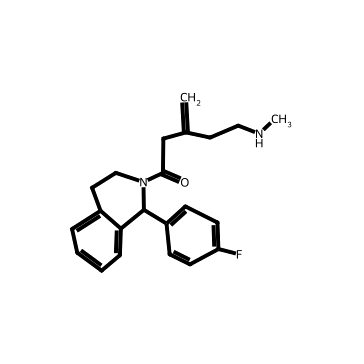 C=C(CCNC)CC(=O)N1CCc2ccccc2C1c1ccc(F)cc1